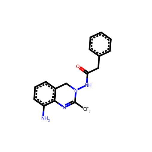 Nc1cccc2c1N=C(C(F)(F)F)N(NC(=O)Cc1ccccc1)C2